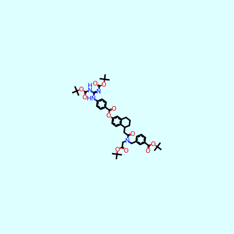 CC(C)(C)OC(=O)CN(Cc1cccc(C(=O)OC(C)(C)C)c1)C(=O)CC1CCCc2cc(OC(=O)c3ccc(NC(=NC(=O)OC(C)(C)C)NC(=O)OC(C)(C)C)cc3)ccc21